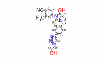 CC1(C)C(O)N(c2ccc(C#N)c(C(F)(F)F)c2)C(=S)N1Cc1ccc(-c2cn(CCO)nn2)cc1